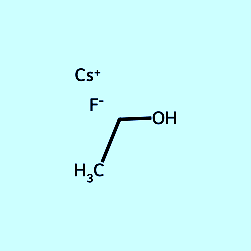 CCO.[Cs+].[F-]